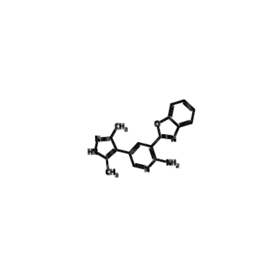 Cc1n[nH]c(C)c1-c1cnc(N)c(-c2nc3ccccc3o2)c1